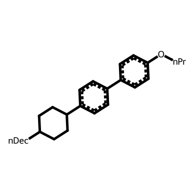 CCCCCCCCCCC1CCC(c2ccc(-c3ccc(OCCC)cc3)cc2)CC1